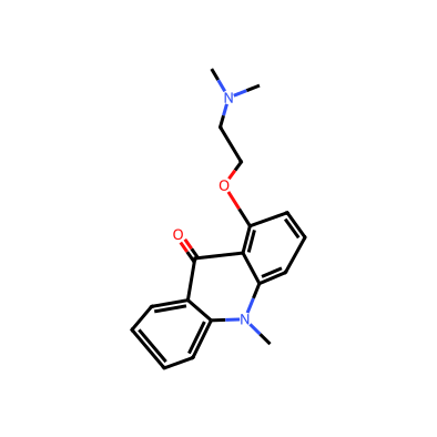 CN(C)CCOc1cccc2c1c(=O)c1ccccc1n2C